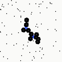 c1ccc(-c2ccc(-n3c4ccccc4c4cc(-c5ccc6c(c5)c5ccccc5n6-c5cc6c7ccccc7ccc6c6ccccc56)ccc43)cc2)cc1